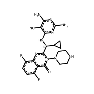 N#Cc1c(N)nc(N)nc1N[C@H](c1nc2c(F)ccc(F)c2c(=O)n1N1CCNCC1)C1CC1